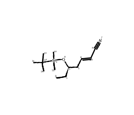 CC[C@H](C/C=C/C#N)O[Si](C)(C)C(C)(C)C